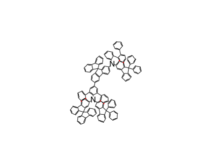 c1ccc(-c2ccccc2-c2ccccc2N(c2ccc3c(c2)-c2ccccc2C3(c2ccccc2)c2ccccc2)c2ccc3c(c2)C2(c4ccccc4-c4ccccc42)c2ccc(-c4cc(-c5ccccc5)c(N(c5ccc6c(c5)-c5ccccc5C6(c5ccccc5)c5ccccc5)c5ccc6c(c5)C5(c7ccccc7-c7ccccc75)c5ccccc5-6)c(-c5ccccc5)c4)cc2-3)cc1